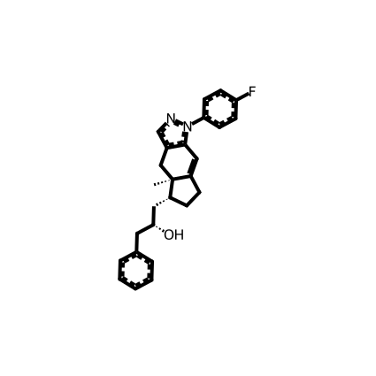 C[C@]12Cc3cnn(-c4ccc(F)cc4)c3C=C1CC[C@@H]2C[C@H](O)Cc1ccccc1